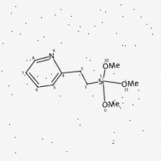 CO[Si](CCc1ccccn1)(OC)OC